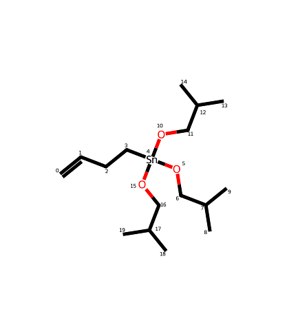 C=CC[CH2][Sn]([O]CC(C)C)([O]CC(C)C)[O]CC(C)C